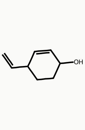 C=CC1C=CC(O)CC1